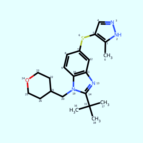 Cc1[nH]ncc1Sc1ccc2c(c1)nc(C(C)(C)C)n2CC1CCOCC1